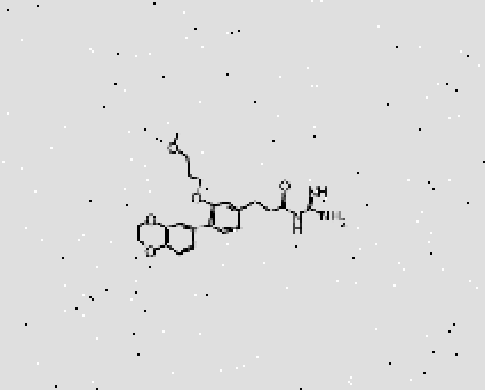 COCCCOc1cc(CCC(=O)NC(=N)N)ccc1-c1ccc2c(c1)OCCO2